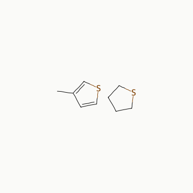 C1CCSC1.Cc1ccsc1